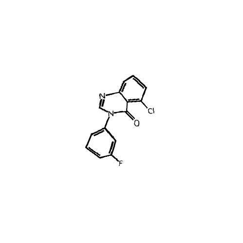 O=c1c2c(Cl)cccc2ncn1-c1cccc(F)c1